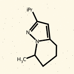 CC(C)c1cc2n(n1)C(C)CCC2